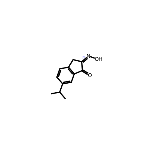 CC(C)c1ccc2c(c1)C(=O)/C(=N\O)C2